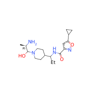 CCC(NC(=O)c1cc(C2CC2)on1)C1CCN(C(O)[C@@H](C)N)CC1